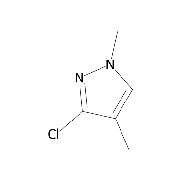 Cc1cn(C)nc1Cl